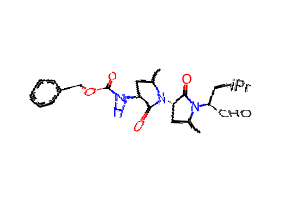 CC(C)C[C@@H](C=O)N1C(=O)[C@@H](N2C(=O)[C@@H](NC(=O)OCc3ccccc3)CC2C)CC1C